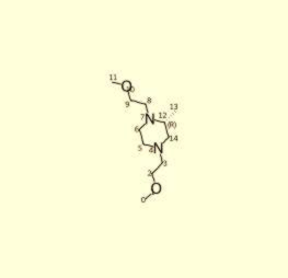 COCCN1CCN(CCOC)[C@H](C)C1